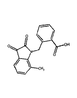 Cc1cccc2c1N(Cc1ccccc1C(=O)O)C(=O)C2=O